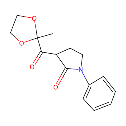 CC1(C(=O)C2CCN(c3ccccc3)C2=O)OCCO1